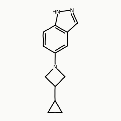 c1cc2[nH]ncc2cc1N1CC(C2CC2)C1